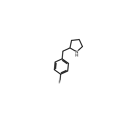 Fc1ccc(C[C]2CCCN2)cc1